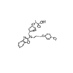 COc1ccc(OCCCN(Cc2cccc(OC(C)C(=O)O)c2)c2nc3ccccc3o2)cc1